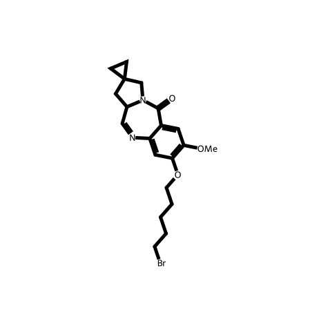 COc1cc2c(cc1OCCCCCBr)N=CC1CC3(CC3)CN1C2=O